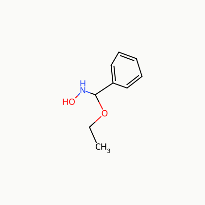 CCOC(NO)c1ccccc1